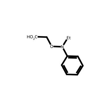 CCN(OCC(=O)O)c1ccccc1